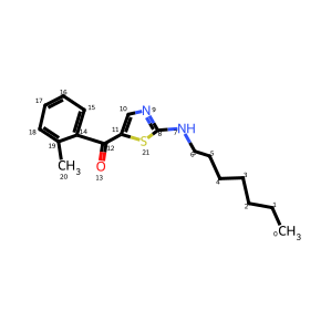 CCCCCC[CH]Nc1ncc(C(=O)c2ccccc2C)s1